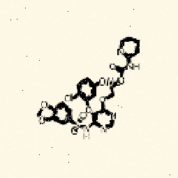 COc1ccc(Cl)c(Oc2c(NS(=O)(=O)c3ccc4c(c3)OCO4)ncnc2OCCOC(=O)Nc2ccccn2)c1